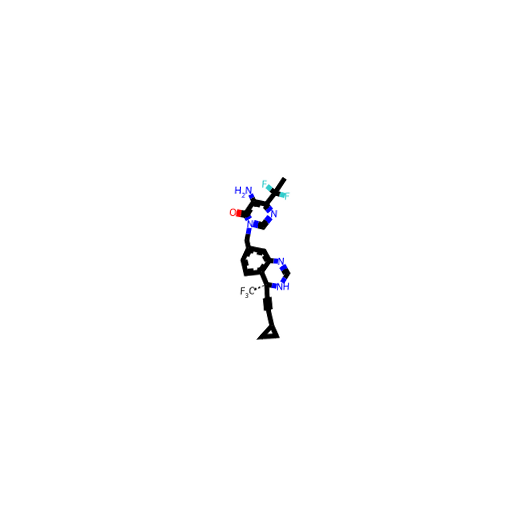 CC(F)(F)c1ncn(Cc2ccc3c(c2)N=CN[C@]3(C#CC2CC2)C(F)(F)F)c(=O)c1N